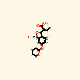 CCC(C(=O)O)C1OB(O)c2cc(OC3CCCCO3)cc(F)c21